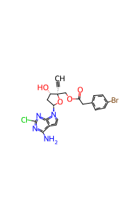 C#C[C@]1(COC(=O)Cc2ccc(Br)cc2)O[C@@H](n2ccc3c(N)nc(Cl)nc32)C[C@@H]1O